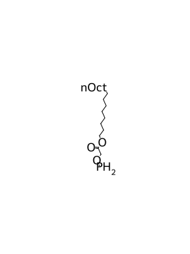 CCCCCCCCCCCCCCCCOC(=O)COP